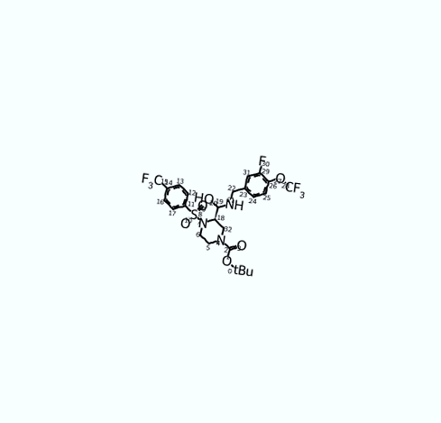 CC(C)(C)OC(=O)N1CCN(S(=O)(=O)c2ccc(C(F)(F)F)cc2)[C@@H](C(O)NCc2ccc(OC(F)(F)F)c(F)c2)C1